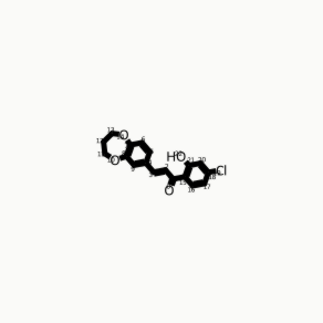 O=C(/C=C/c1ccc2c(c1)OCCCO2)c1ccc(Cl)cc1O